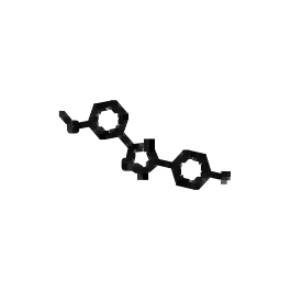 COc1cccc(-c2nc(-c3ccc(F)cc3)no2)c1